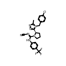 Cc1nnc([C@H]2CCCN2/C(=N/C#N)Nc2ccc(C(F)(F)F)cc2)n1Cc1ccc(Cl)cc1